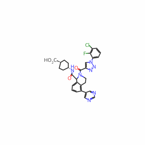 O=C(N[C@H]1CC[C@H](C(=O)O)CC1)C1c2cccc(-c3cncnc3)c2CCN1C(=O)c1cn(-c2cccc(Cl)c2F)nn1